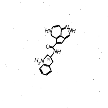 NC[C@H](Cc1ccccc1)NC(=O)c1cc2c[nH]nc3c-2c1CNC=C3